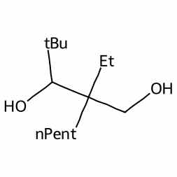 CCCCCC(CC)(CO)C(O)C(C)(C)C